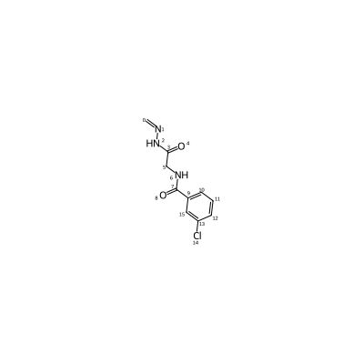 C=NNC(=O)CNC(=O)c1cccc(Cl)c1